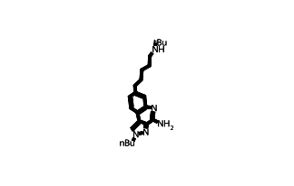 CCCCn1cc2c(n1)c(N)nc1cc(CCCCCNC(C)(C)C)ccc12